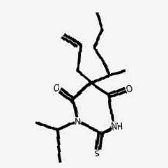 C=CCC1(C(C)CCC)C(=O)NC(=S)N(C(C)C)C1=O